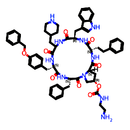 NCCNC(=O)O[C@@H]1C[C@H]2C(=O)N[C@@H](CCc3ccccc3)C(=O)N[C@H](Cc3c[nH]c4ccccc34)C(=O)NC(CC3CCNCC3)C(=O)N[C@@H](Cc3ccc(OCc4ccccc4)cc3)C(=O)N[C@@H](Cc3ccccc3)C(=O)N2C1